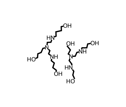 OCCCCNCCN(CCCCO)CCNCCCCO.OCCCNCCN(CCCO)CCNCCCO